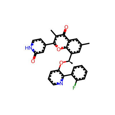 Cc1cc([C@@H](C)Oc2cccnc2-c2ccccc2F)c2oc(-c3cc[nH]c(=O)c3)c(C)c(=O)c2c1